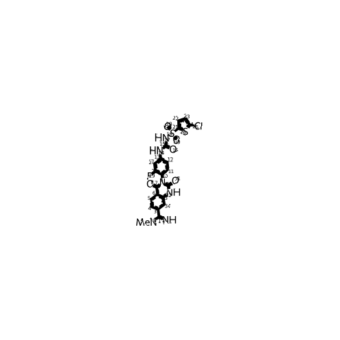 CNC(=N)c1ccc2c(=O)n(-c3ccc(NC(=O)NS(=O)(=O)c4ccc(Cl)s4)cc3F)c(=O)[nH]c2c1